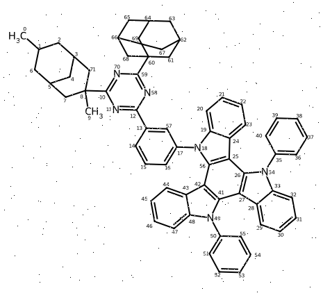 CC1CC2CC(C1)CC(C)(c1nc(-c3cccc(-n4c5ccccc5c5c6c(c7ccccc7n6-c6ccccc6)c6c(c7ccccc7n6-c6ccccc6)c54)c3)nc(C34CC5CC(CC(C5)C3)C4)n1)C2